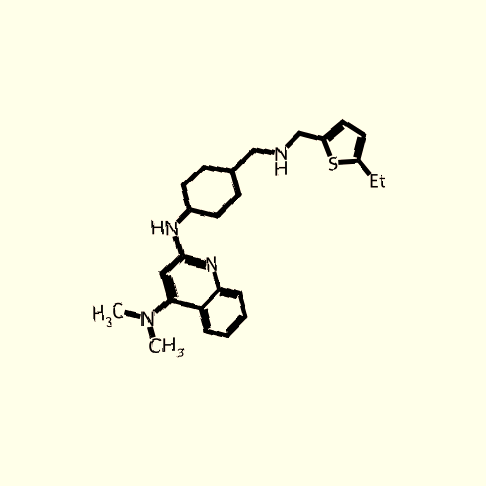 CCc1ccc(CNCC2CCC(Nc3cc(N(C)C)c4ccccc4n3)CC2)s1